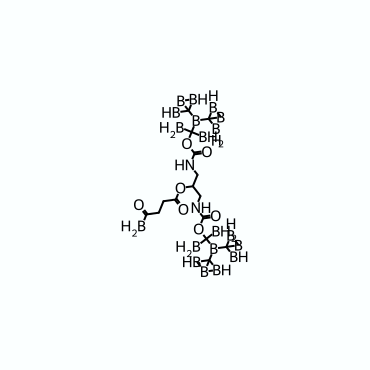 BC(=O)CCC(=O)OC(CNC(=O)OC(B)(B)B(C12BB1B2)C12BB1B2)CNC(=O)OC(B)(B)B(C12BB1B2)C12BB1B2